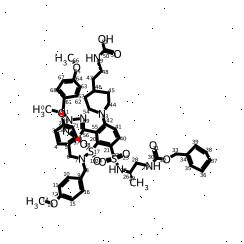 COc1ccc(CN(Cc2ccc(OC)cc2)S(=O)(=O)c2c(S(=O)(=O)N[C@H](C)CNC(=O)OCc3ccccc3)ccc(N3CCC(CCNC(=O)O)CC3)c2-c2nnn(Cc3ccc(OC)cc3)n2)cc1